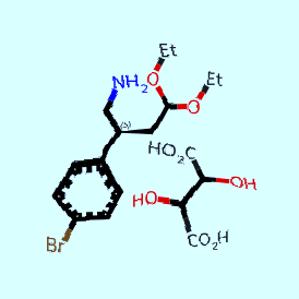 CCOC(C[C@H](CN)c1ccc(Br)cc1)OCC.O=C(O)C(O)C(O)C(=O)O